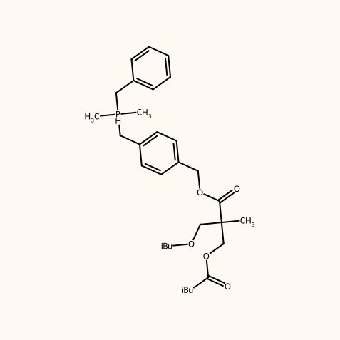 CCC(C)OCC(C)(COC(=O)C(C)CC)C(=O)OCc1ccc(C[PH](C)(C)Cc2ccccc2)cc1